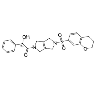 O=C([C@@H](O)c1ccccc1)N1CC2=C(C1)CN(S(=O)(=O)c1ccc3c(c1)OCCC3)C2